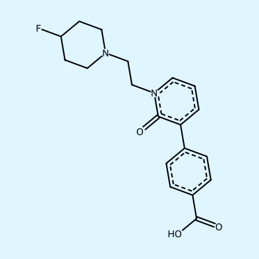 O=C(O)c1ccc(-c2cccn(CCN3CCC(F)CC3)c2=O)cc1